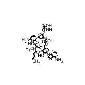 C=CCCC(=O)N(C)C(CO)C(=O)O[C@H]1[C@@H](O)[C@H](n2cnc3c(N)ncnc32)O[C@@H]1COP(=O)(O)O[C@H]1C[C@H](n2ccc(N)nc2=O)O[C@@H]1COP(=O)(O)O